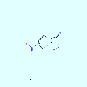 C[C](C)c1cc([N+](=O)[O-])ccc1C#N